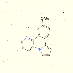 COc1ccc2c(c1)c1ncccc1n1cccc21